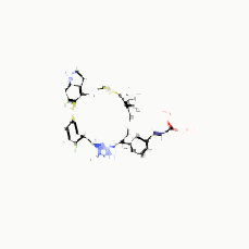 Cn1nc2nc1-c1cc(ccc1F)Sc1c(F)cc3[nH]ccc3c1CCSCC(C)(C)CCCC2(C)c1cccc(/C=C/C(=O)O)c1